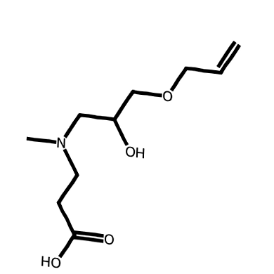 C=CCOCC(O)CN(C)CCC(=O)O